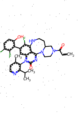 C=CC(=O)N1CCN2c3nc(=O)n(-c4c(C)ccnc4C(C)C)c4cc(-c5c(O)ccc(F)c5F)c(F)c(c34)NCCC2C1